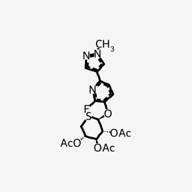 CC(=O)O[C@@H]1[C@@H](OC(C)=O)[C@H](OC(C)=O)CS[C@H]1Oc1ccc(-c2cnn(C)c2)nc1F